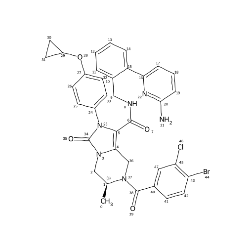 C[C@H]1Cn2c(c(C(=O)NCc3ccccc3-c3cccc(N)n3)n(-c3ccc(OC4CC4)cc3)c2=O)CN1C(=O)c1ccc(Br)c(Cl)c1